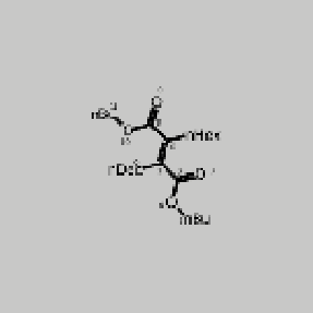 CCCCCCCCCCC(C(=O)OCCCC)=C(CCCCCC)C(=O)OCCCC